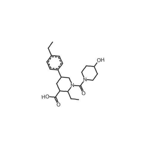 CCc1ccc(C2CC(C(=O)O)C(CC)N(C(=O)N3CCC(O)CC3)C2)cc1